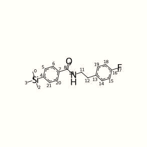 C[Si](C)(C)c1ccc(C(=O)NCCc2ccc(F)cc2)cc1